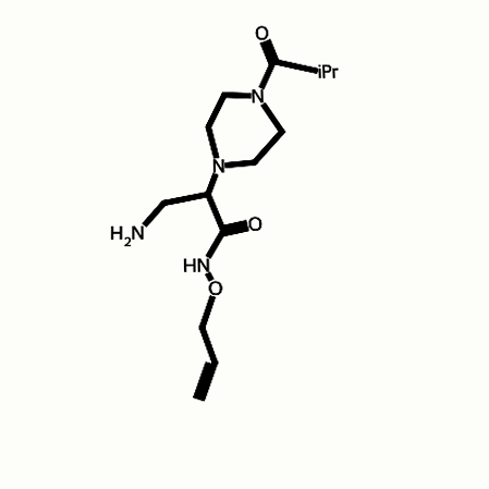 C=CCONC(=O)C(CN)N1CCN(C(=O)C(C)C)CC1